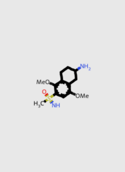 COc1cc(S(C)(=N)=O)c(OC)c2c1CC(N)CC2